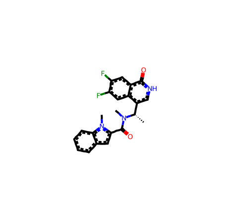 C[C@@H](c1c[nH]c(=O)c2cc(F)c(F)cc12)N(C)C(=O)c1cc2ccccc2n1C